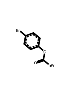 [CH2]CCC(=O)Oc1ccc(Br)cc1